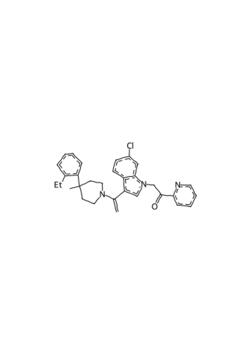 C=C(c1cn(CC(=O)c2ccccn2)c2cc(Cl)ccc12)N1CCC(C)(c2ccccc2CC)CC1